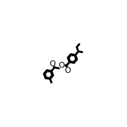 CCC(C)c1ccc(C(=O)OCC(=O)c2cccc(C)c2)cc1